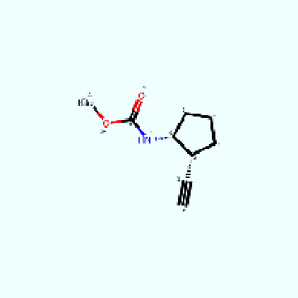 C#C[C@H]1CCC[C@H]1NC(=O)OC(C)(C)C